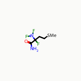 CSCCC(F)(C(N)=O)N(F)F